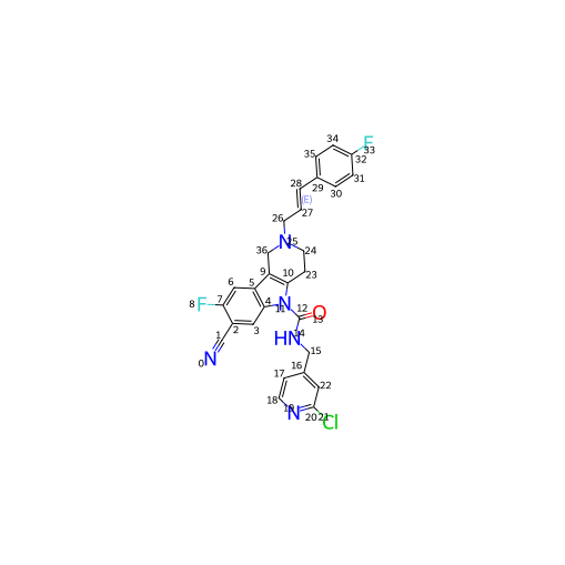 N#Cc1cc2c(cc1F)c1c(n2C(=O)NCc2ccnc(Cl)c2)CCN(C/C=C/c2ccc(F)cc2)C1